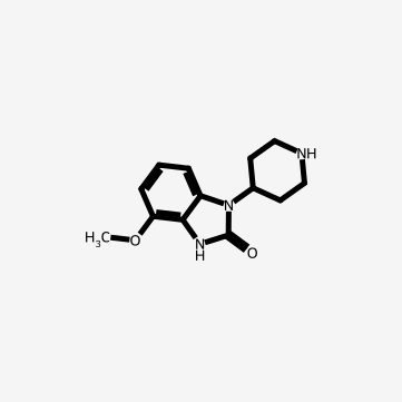 COc1cccc2c1[nH]c(=O)n2C1CCNCC1